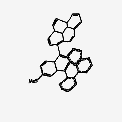 CSC1=CC2C(c3ccccc3-c3ccccc3)=c3ccccc3=C(C3=C4C=CC5=CC=CC6C=CC(C=C3)C4C56)C2C=C1